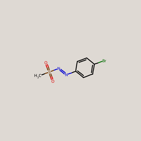 CS(=O)(=O)N=Nc1ccc(Br)cc1